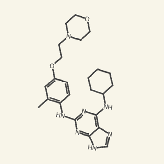 Cc1cc(OCCN2CCOCC2)ccc1Nc1nc(NC2CCCCC2)c2nc[nH]c2n1